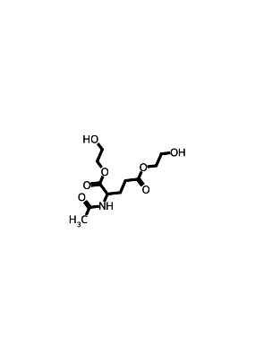 CC(=O)NC(CCC(=O)OCCO)C(=O)OCCO